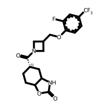 O=C1NC2C[C@@H](C(=O)N3CC(COc4ccc(C(F)(F)F)cc4F)C3)CCC2O1